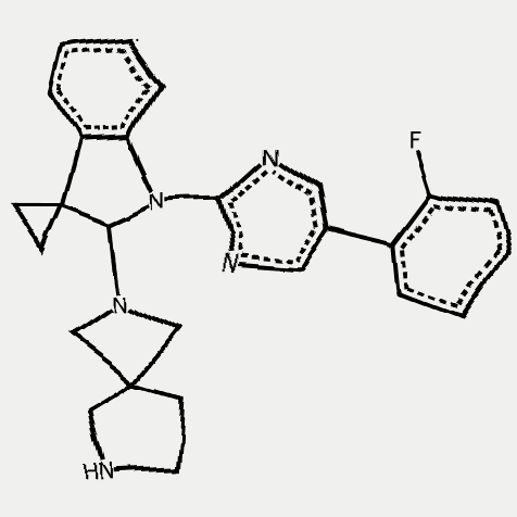 Fc1ccccc1-c1cnc(N2c3c[c]ccc3C3(CC3)C2N2CC3(CCNC3)C2)nc1